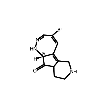 O=C1C2CCNCC2=C2C=C(Br)C=NN[C@@H]12